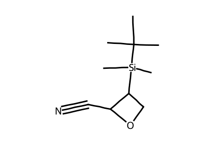 CC(C)(C)[Si](C)(C)C1COC1C#N